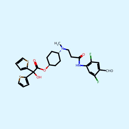 CN(CCC(=O)Nc1cc(F)c(C=O)cc1F)[C@H]1CC[C@H](OC(=O)C(O)(c2cccs2)c2cccs2)CC1